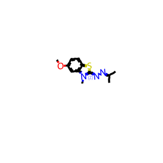 COc1ccc2s/c(=N\N=C(C)C)n(C)c2c1